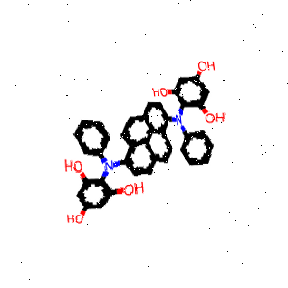 Oc1cc(O)c(N(c2ccccc2)c2ccc3ccc4c(N(c5ccccc5)c5c(O)cc(O)cc5O)ccc5ccc2c3c54)c(O)c1